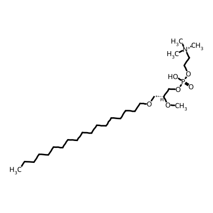 CCCCCCCCCCCCCCCCCCOC[C@H](COP(=O)(O)OCC[N+](C)(C)C)OC